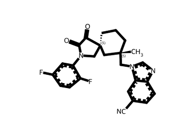 C[C@]1(Cn2cnc3ccc(C#N)cc32)CCC[C@@]2(CN(c3cc(F)ccc3F)C(=O)C2=O)C1